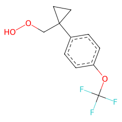 OOCC1(c2ccc(OC(F)(F)F)cc2)CC1